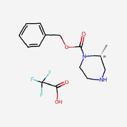 C[C@@H]1CNCCN1C(=O)OCc1ccccc1.O=C(O)C(F)(F)F